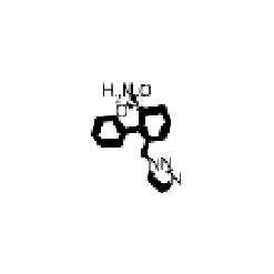 NS(=O)(=O)c1cccc(Cn2ccnn2)c1-c1ccccc1